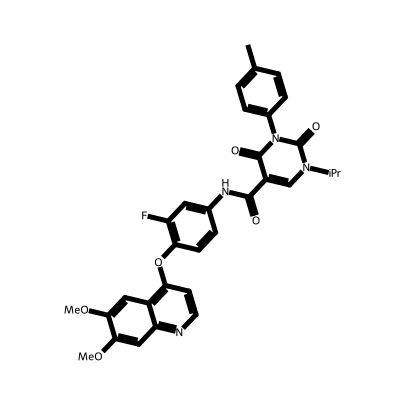 COc1cc2nccc(Oc3ccc(NC(=O)c4cn(C(C)C)c(=O)n(-c5ccc(C)cc5)c4=O)cc3F)c2cc1OC